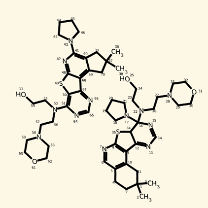 CC1(C)CCc2cnc3c(c2C1)C1=NC=NC(N2CCCC2)(N(CCO)CCN2CCOCC2)C1S3.CC1(C)Cc2c(N3CCCC3)nc3sc4c(N(CCO)CCN5CCOCC5)ncnc4c3c2C1